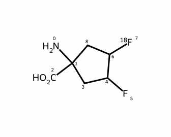 NC1(C(=O)O)CC(F)C([18F])C1